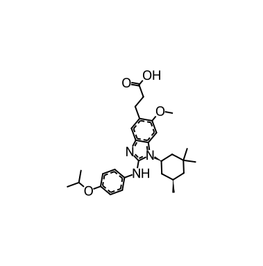 COc1cc2c(cc1CCC(=O)O)nc(Nc1ccc(OC(C)C)cc1)n2[C@@H]1C[C@H](C)CC(C)(C)C1